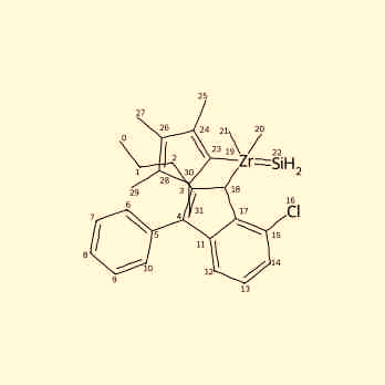 CCCC1=C(c2ccccc2)c2cccc(Cl)c2[CH]1[Zr]([CH3])([CH3])(=[SiH2])[C]1=C(C)C(C)=C(C)C1C